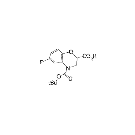 CC(C)(C)OC(=O)N1CC(C(=O)O)Oc2ccc(F)cc21